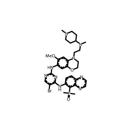 COc1cc2c(cc1Nc1ncc(Br)c(Nc3ccc4nccnc4c3P(C)(C)=O)n1)OCCN2CCN(C)C1CCN(C)CC1